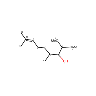 COC(OC)C(O)C(C)CCC=C(C)C